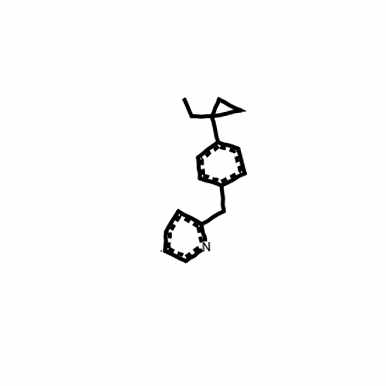 CCC1(c2ccc(Cc3cc[c]cn3)cc2)CC1